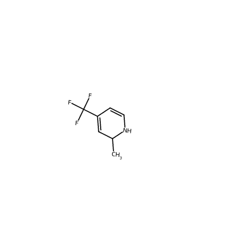 CC1C=C(C(F)(F)F)C=CN1